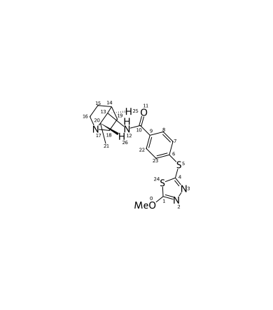 COc1nnc(Sc2ccc(C(=O)N[C@@H]3C4CCN(CC4)[C@H]3C)cc2)s1